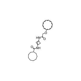 O=C(COc1ccccccccc1)NC12CC(NC(=O)C3CCCCCCCC3)(C1)C2